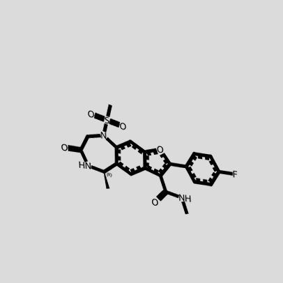 CNC(=O)c1c(-c2ccc(F)cc2)oc2cc3c(cc12)[C@@H](C)NC(=O)CN3S(C)(=O)=O